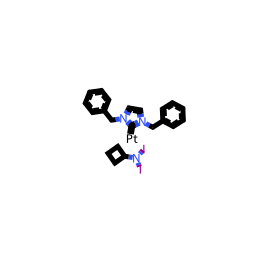 IN(I)C1CCC1.[Pt]=[c]1n(Cc2ccccc2)ccn1Cc1ccccc1